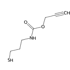 C#CCOC(=O)NCCCS